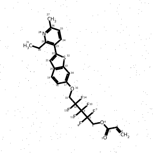 C=CC(=O)OCC(F)(F)C(F)(F)C(F)(F)COc1ccc2cc(-c3ccc(C)nc3CC)sc2c1